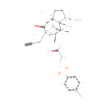 C#CC[C@]1(C)C[C@@H](OC(=O)COS(=O)(=O)c2ccc(C)cc2)[C@]2(C)[C@H](C)CC[C@]3(CC[C@@H](OC)[C@@H]32)[C@@H](C)C1=O